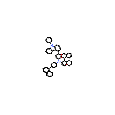 c1ccc(-n2c3ccccc3c3c(-c4ccc(N(c5ccc(-c6cccc7ccccc67)cc5)c5ccccc5-c5cccc6cccc(C7CCCCC7)c56)cc4)cccc32)cc1